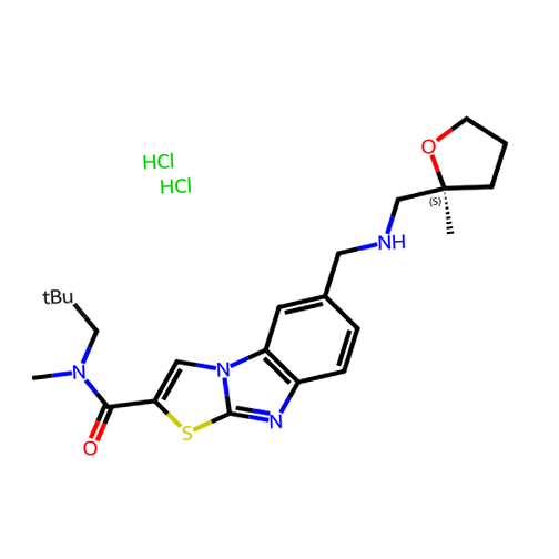 CN(CC(C)(C)C)C(=O)c1cn2c(nc3ccc(CNC[C@]4(C)CCCO4)cc32)s1.Cl.Cl